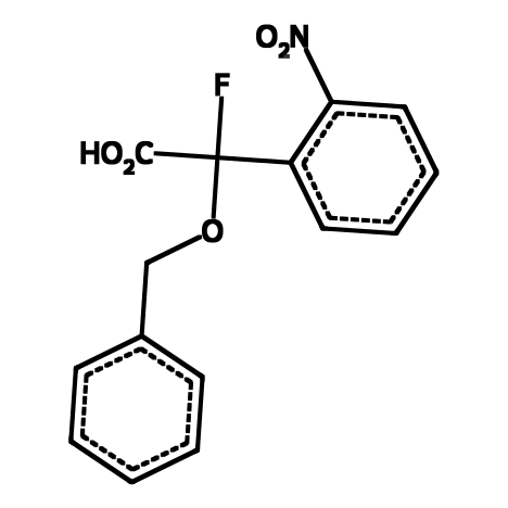 O=C(O)C(F)(OCc1ccccc1)c1ccccc1[N+](=O)[O-]